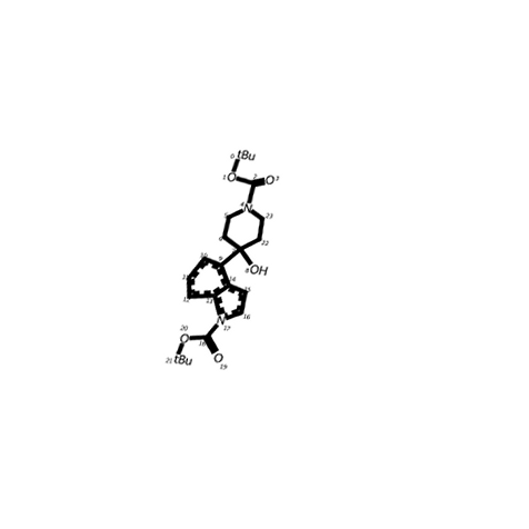 CC(C)(C)OC(=O)N1CCC(O)(c2cccc3c2ccn3C(=O)OC(C)(C)C)CC1